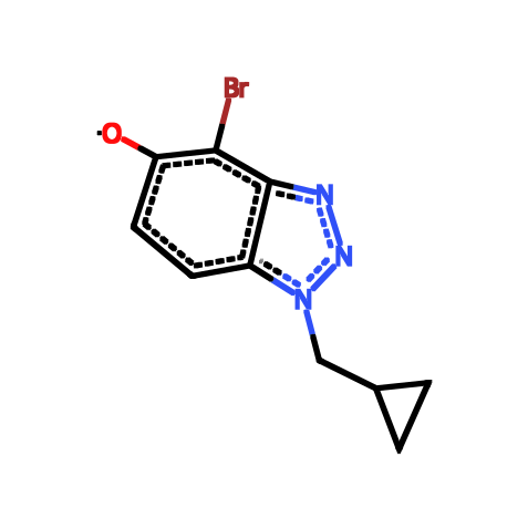 [O]c1ccc2c(nnn2CC2CC2)c1Br